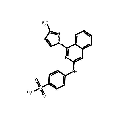 CS(=O)(=O)c1ccc(Nc2cc3ccccc3c(-n3ccc(C(F)(F)F)n3)n2)cc1